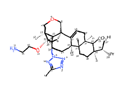 Cc1nnn([C@@H]2C[C@@]34COC[C@@](C)([C@@H]3CC[C@H]3C4=CC[C@@]4(C)C(C(=O)O)[C@@](C)([C@H](C)C(C)C)CC[C@]34C)[C@H]2OCCN)n1